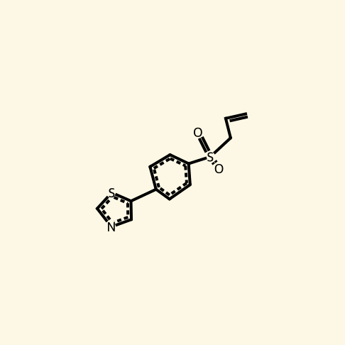 C=CCS(=O)(=O)c1ccc(-c2cncs2)cc1